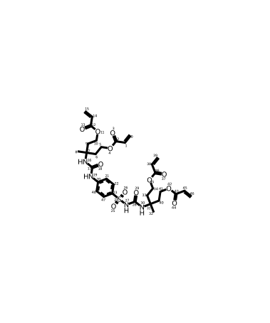 C=CC(=O)OCCC(C)(CCOC(=O)C=C)NC(=O)Nc1ccc(S(=O)(=O)NC(=O)NC(C)(CCOC(=O)C=C)CCOC(=O)C=C)cc1